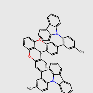 N#Cc1ccc(-n2c3ccccc3c3ccccc32)c(-c2ccc3c(c2)Oc2cccc4c2B3c2ccc(-c3cc(C#N)ccc3-n3c5ccccc5c5ccccc53)cc2O4)c1